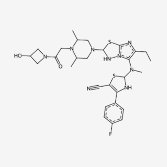 CCc1nc2n(c1N(C)C1NC(c3ccc(F)cc3)=C(C#N)S1)NC(N1CC(C)N(CC(=O)N3CC(O)C3)C(C)C1)S2